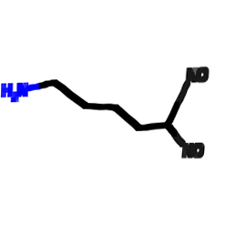 NCCCCC(N=O)N=O